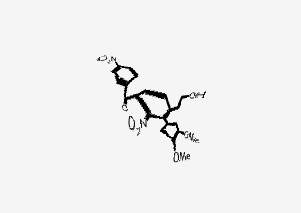 COc1ccc(-c2c(CCO)ccc(C(=O)c3ccc([N+](=O)[O-])cc3)c2[N+](=O)[O-])cc1OC